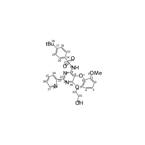 COc1ccccc1Oc1c(NS(=O)(=O)c2ccc(C(C)(C)C)cc2)nc(-c2ccccn2)nc1OCCO